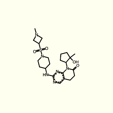 CN1CC(S(=O)(=O)N2CCC(Nc3ncc4c(n3)N(C3CCCC3(C)O)C(=O)CC4)CC2)C1